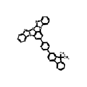 CC1(C)c2ccccc2-c2ccc(-c3ccc(-c4cc5c6c(c4)n4c7ccccc7nc4n6c4nc6ccccc6n54)cc3)cc21